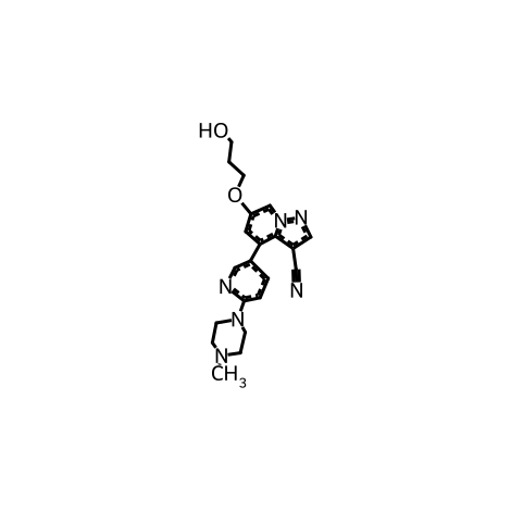 CN1CCN(c2ccc(-c3cc(OCCCO)cn4ncc(C#N)c34)cn2)CC1